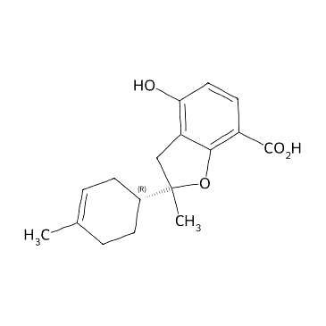 CC1=CC[C@H](C2(C)Cc3c(O)ccc(C(=O)O)c3O2)CC1